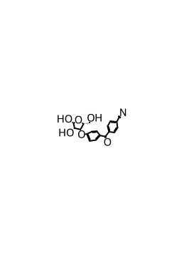 N#Cc1ccc(C(=O)c2ccc(O[C@@H]3[C@@H](O)[C@@H](O)O[C@@H]3CO)cc2)cc1